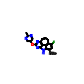 CNc1cc(F)c2c3c1[nH]c1nc(Oc4cnc(C)nc4)nc(c13)C=CC2